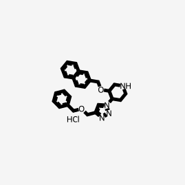 Cl.c1ccc(COCc2cn(C3CCNCC3OCc3ccc4ccccc4c3)nn2)cc1